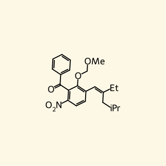 CCC(=Cc1ccc([N+](=O)[O-])c(C(=O)c2ccccc2)c1OCOC)CC(C)C